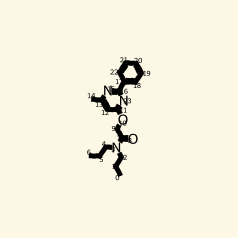 CCCN(CCC)C(=O)COc1cc(C)nc(-c2ccccc2)n1